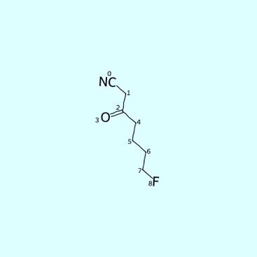 N#CCC(=O)CCCCF